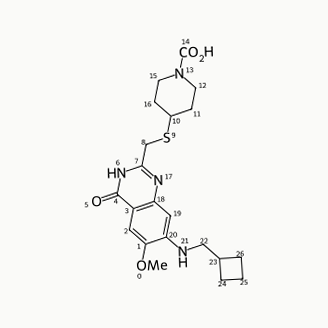 COc1cc2c(=O)[nH]c(CSC3CCN(C(=O)O)CC3)nc2cc1NCC1CCC1